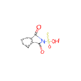 O=C1c2ccccc2C(=O)N1S(=O)(O)=S